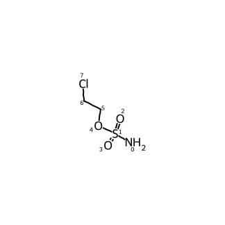 NS(=O)(=O)OCCCl